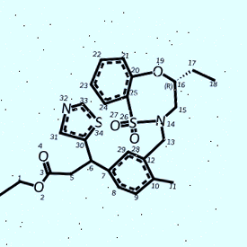 CCOC(=O)CC(c1ccc(C)c(CN2C[C@@H](CC)Oc3ccccc3S2(=O)=O)c1)c1cncs1